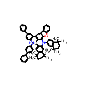 CC1(C)CCC(C)(C)c2cc(N3c4cc5c(cc4Bc4c(-c6cc(-c7ccccc7)ccc6Nc6ccc(-c7ccccc7)cc6)cc6c(oc7ccccc76)c43)C(C)(C)CCC5(C)C)ccc21